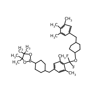 Cc1cc(CC2CCC(OC(F)(F)c3c(C)cc(CC4CCC(B5OC(C)(C)C(C)(C)O5)CC4)cc3C)CC2)cc(C)c1C